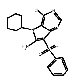 Nc1c(S(=O)(=O)c2ccccc2)c2ncnc(Cl)c2n1C1CCCCC1